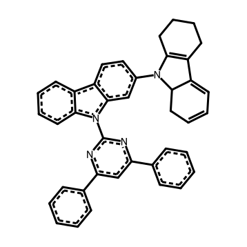 C1=CCC2C(=C1)C1=C(CCCC1)N2c1ccc2c3ccccc3n(-c3nc(-c4ccccc4)cc(-c4ccccc4)n3)c2c1